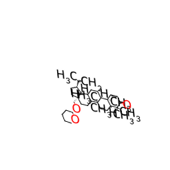 C=C(C)[C@@H]1CC[C@]2(COC3CCCCO3)CC[C@]3(C)[C@H](CC[C@@H]4[C@@]5(C)C=CC(=O)C(C)(C)[C@@H]5CC[C@]43C)[C@@H]12